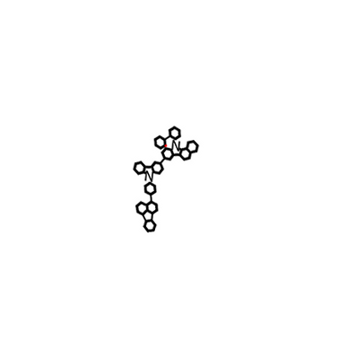 c1ccc(-c2ccccc2-n2c3ccc(-c4ccc5c(c4)c4ccccc4n5-c4ccc(-c5ccc6c7c(cccc57)-c5ccccc5-6)cc4)cc3c3ccc4ccccc4c32)cc1